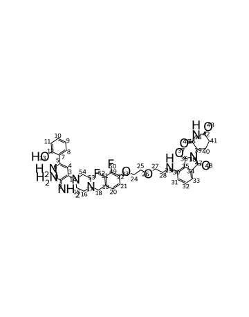 NC(N)=C(/C=C(\N)c1ccccc1O)N1CCN(Cc2ccc(OCCOCCNc3cccc4c3C(=O)N(C3CCC(=O)NC3=O)C4=O)c(F)c2F)CC1